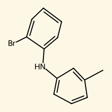 Cc1cccc(Nc2ccccc2Br)c1